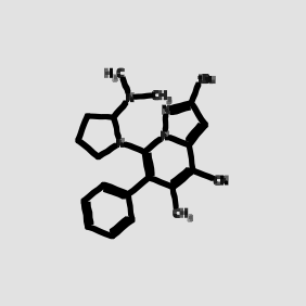 Cc1c(-c2ccccc2)c(N2CCCC2N(C)C)n2nc(C(C)(C)C)cc2c1C#N